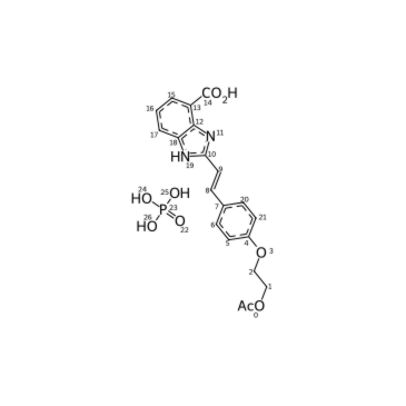 CC(=O)OCCOc1ccc(/C=C/c2nc3c(C(=O)O)cccc3[nH]2)cc1.O=P(O)(O)O